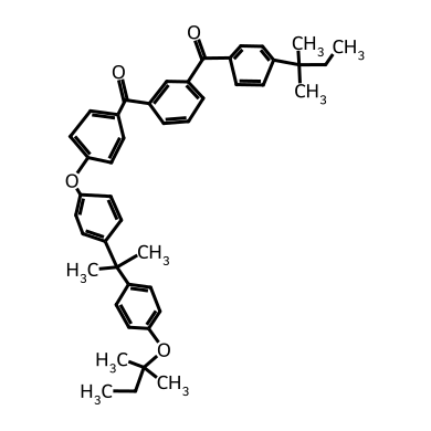 CCC(C)(C)Oc1ccc(C(C)(C)c2ccc(Oc3ccc(C(=O)c4cccc(C(=O)c5ccc(C(C)(C)CC)cc5)c4)cc3)cc2)cc1